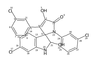 O=C1C(O)=C(c2cccc(Cl)c2)C2(c3ccc(Cl)cc3NC2O)N1c1cccc(Cl)c1